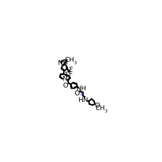 COC1CCC(NC/C=C/C(=O)Nc2ccc(C(=O)c3ccc4c(-c5cc6ncn(C)c6cc5C(F)(F)F)cccn34)cc2)CC1